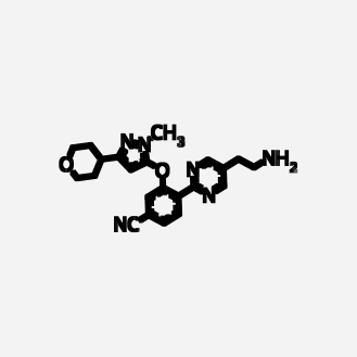 Cn1nc(C2CCOCC2)cc1Oc1cc(C#N)ccc1-c1ncc(CCN)cn1